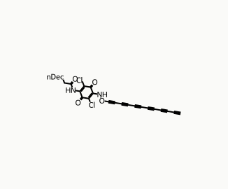 C#CC#CC#CC#CC#CC#CONC1=C(Cl)C(=O)C(NC(=O)CCCCCCCCCCC)=C(Cl)C1=O